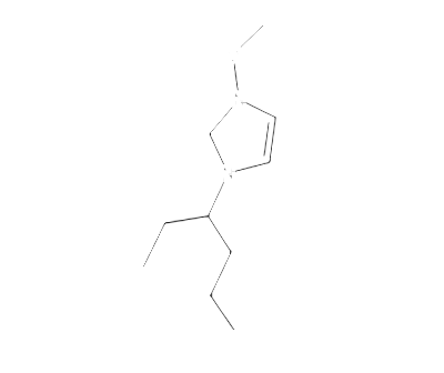 CCCC(CC)N1C=CN(OC)C1